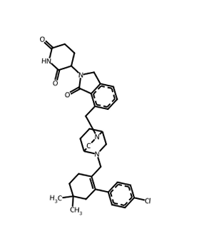 CC1(C)CCC(CN2CC3CCC2CN3Cc2cccc3c2C(=O)N(C2CCC(=O)NC2=O)C3)=C(c2ccc(Cl)cc2)C1